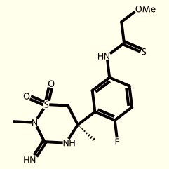 COCC(=S)Nc1ccc(F)c([C@]2(C)CS(=O)(=O)N(C)C(=N)N2)c1